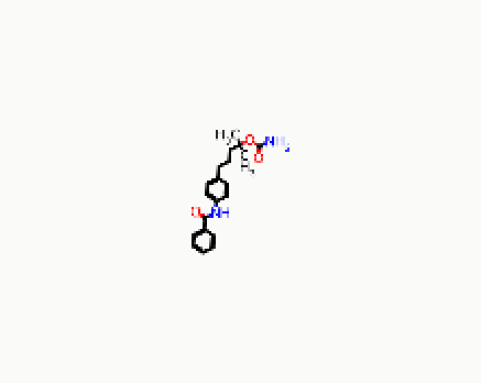 CC(C)(CCCc1ccc(NC(=O)c2ccccc2)cc1)OC(N)=O